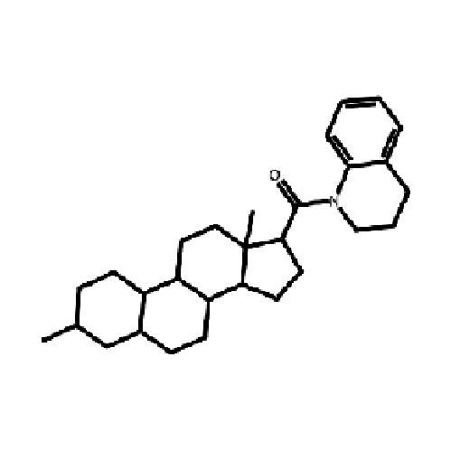 CC1CCC2C(CCC3C2CCC2(C)C(C(=O)N4CCCc5ccccc54)CCC32)C1